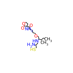 CC[C@H](C)C(COCCCCC(=O)[C@]1(N)CCOC1=O)NCC(N)CS